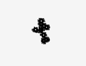 c1ccc(-c2nc(-c3ccc(-c4cncc5ccccc45)cc3)cc(-c3c4ccccc4cc4c3ccc3ccccc34)n2)cc1